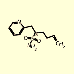 C=CCC[C@H](Cc1ccccn1)S(N)(=O)=O